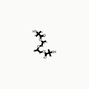 CC(COC(=O)C(C)(C)S)OCC(C)OC(=O)C(C)(C)S